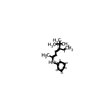 C=C/C(=C\C=C(C)Nc1ccccc1)C(C)(C)C